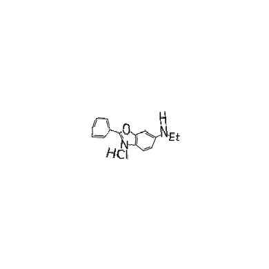 CCNc1ccc2nc(-c3ccccc3)oc2c1.Cl